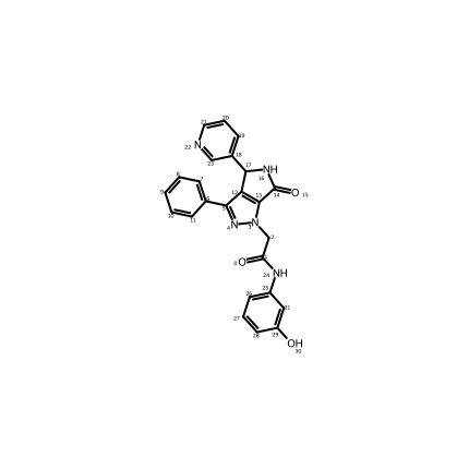 O=C(Cn1nc(-c2ccccc2)c2c1C(=O)NC2c1cccnc1)Nc1cccc(O)c1